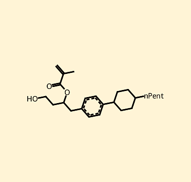 C=C(C)C(=O)OC(CCO)Cc1ccc(C2CCC(CCCCC)CC2)cc1